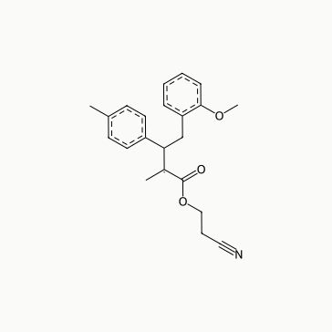 COc1ccccc1CC([C](C)C(=O)OCCC#N)c1ccc(C)cc1